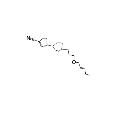 CCC/C=C/COCCCC1CCC(c2ccc(C#N)cc2)CC1